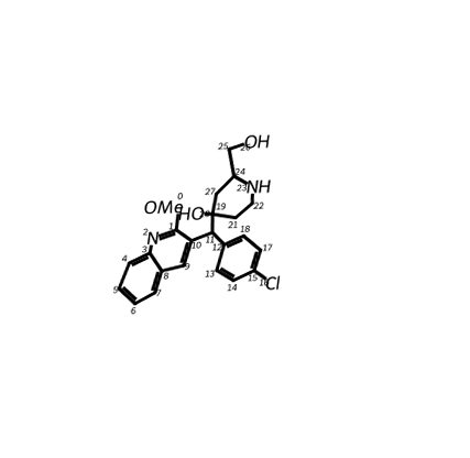 COc1nc2ccccc2cc1C(c1ccc(Cl)cc1)C1(O)CCNC(CO)C1